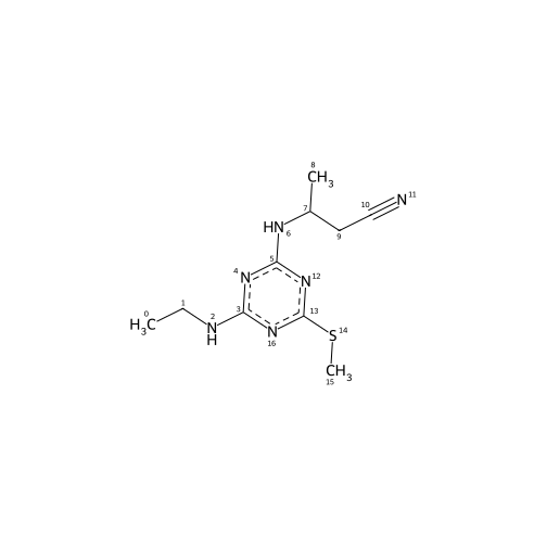 CCNc1nc(NC(C)CC#N)nc(SC)n1